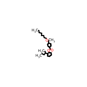 CCCCCCCCOC(C)c1ccc(C(=O)Oc2ccccc2C(CC)CCC)cc1